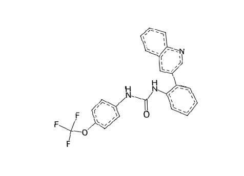 O=C(Nc1ccc(OC(F)(F)F)cc1)Nc1ccccc1-c1cnc2ccccc2c1